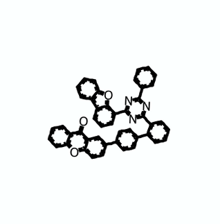 O=c1c2ccccc2oc2ccc(-c3ccc(-c4ccccc4-c4nc(-c5ccccc5)nc(-c5cccc6c5oc5ccccc56)n4)cc3)cc12